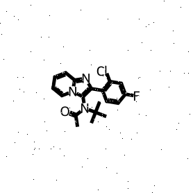 CC(=O)N(c1c(-c2ccc(F)cc2Cl)nc2ccccn12)C(C)(C)C